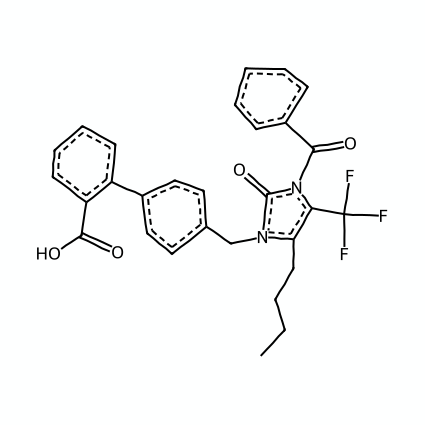 CCCCc1c(C(F)(F)F)n(C(=O)c2ccccc2)c(=O)n1Cc1ccc(-c2ccccc2C(=O)O)cc1